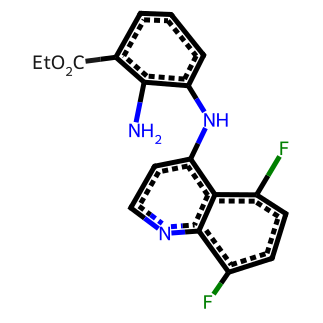 CCOC(=O)c1cccc(Nc2ccnc3c(F)ccc(F)c23)c1N